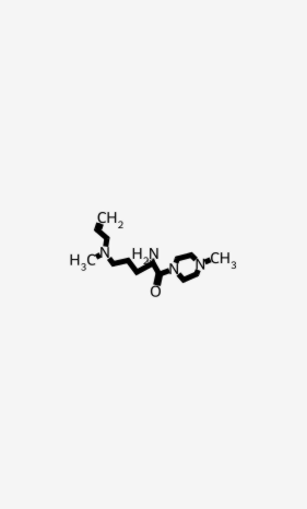 C=CCN(C)CCC[C@H](N)C(=O)N1CCN(C)CC1